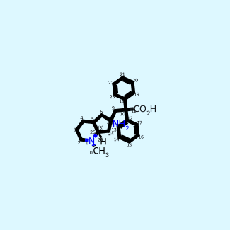 CN1CCCC2C[C@@](N)(CC(C(=O)O)(c3ccccc3)c3ccccc3)C[C@@H]21